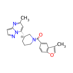 Cc1cc([C@H]2CCCN(C(=O)c3ccc4occ(C)c4c3)C2)n2nccc2n1